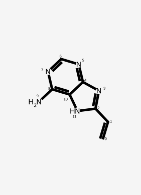 C=Cc1nc2ncnc(N)c2[nH]1